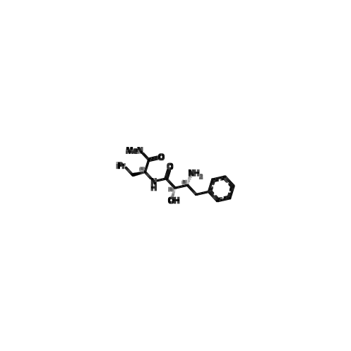 CNC(=O)[C@H](CC(C)C)NC(=O)[C@@H](O)[C@H](N)Cc1ccccc1